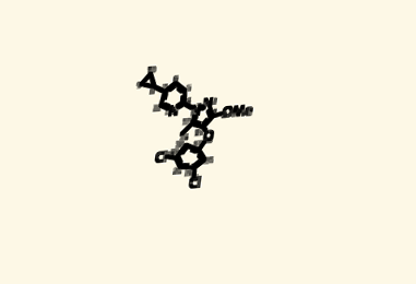 COc1nn(-c2ccc(C3CC3)cn2)c(C)c1Oc1cc(Cl)cc(Cl)c1